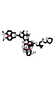 COc1ccc(CN(Cc2ccc(OC)cc2)c2cc(-c3nc4c5c(nc(OCC6(CN(C)CC7CCCCO7)CC6)nc5c3F)N3C[C@H]5CC[C@@H]([C@H]3[C@H](C)O4)N5C(=O)OC(C)(C)C)c(C(F)(F)F)c(C)n2)cc1